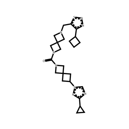 O=C(N1CC2(CC(n3cnc(C4CC4)n3)C2)C1)N1CC2(CN(Cc3snnc3C3CCC3)C2)C1